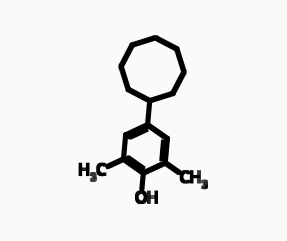 Cc1cc(C2CCCCCCC2)cc(C)c1O